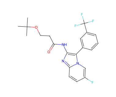 CC(C)(C)OCCC(=O)Nc1nc2ccc(F)cn2c1-c1cccc(C(F)(F)F)c1